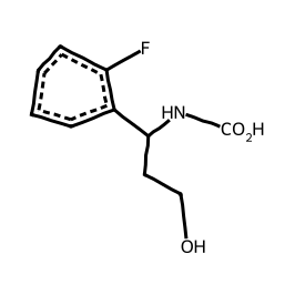 O=C(O)NC(CCO)c1ccccc1F